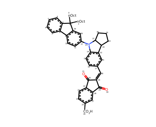 CCCCCCCCC1(CCCCCCCC)c2ccccc2-c2ccc(N3c4ccc(C=C5C(=O)c6ccc(C(=O)O)cc6C5=O)cc4C4CCCC43)cc21